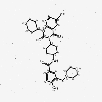 O=C(NC1CCC(n2c(=O)c3cc(F)cnc3n(C3CCSCC3)c2=O)CC1)c1ccc(O)c(CN2CCOCC2)c1